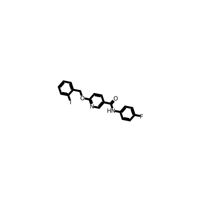 O=C(Nc1ccc(F)cc1)c1ccc(OCc2ccccc2I)nc1